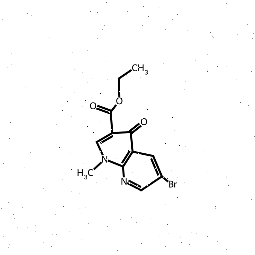 CCOC(=O)c1cn(C)c2ncc(Br)cc2c1=O